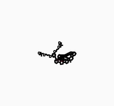 CC1(COCCCOc2cc(OCCCOCC3(C)COC3)cc(C3=NN(c4ccc([N+](=O)[O-])cc4)C45c6c7c8c9c%10c6C6CCC%10C%10CCC%11C%12CCC%13=C%14CCC%15=C(CCC64)C35C3C%15=C%14C4=C%13C%12C(=C8C4=C73)C%11C9%10)c2)COC1